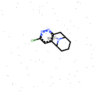 CCOC(=O)N1C2CCCC1c1cc(Cl)nnc1C2